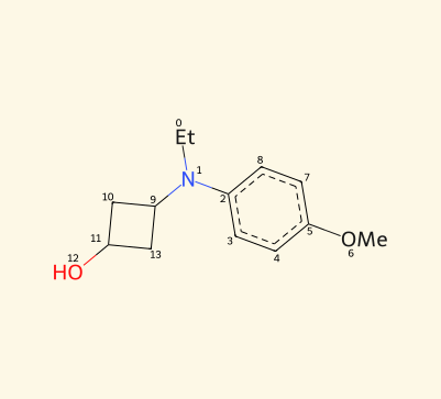 CCN(c1ccc(OC)cc1)C1CC(O)C1